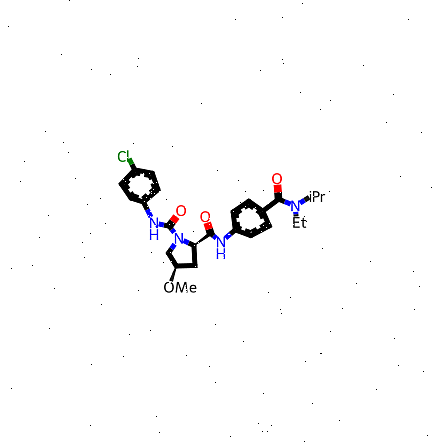 CCN(C(=O)c1ccc(NC(=O)[C@H]2C[C@@H](OC)CN2C(=O)Nc2ccc(Cl)cc2)cc1)C(C)C